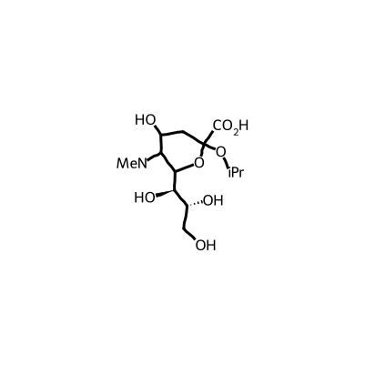 CNC1C(O)CC(OC(C)C)(C(=O)O)OC1[C@H](O)[C@H](O)CO